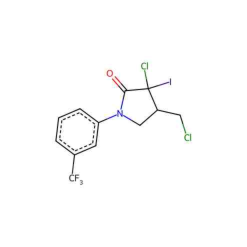 O=C1N(c2cccc(C(F)(F)F)c2)CC(CCl)C1(Cl)I